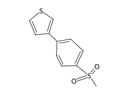 CS(=O)(=O)c1ccc(-c2ccsc2)cc1